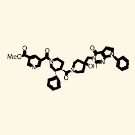 COC(=O)c1cncc(C(=O)N2CC[C@@H](C(=O)N3CCC(O)(Cn4cnc5c(ccn5-c5ccccc5)c4=O)CC3)[C@H](c3ccccc3)C2)c1